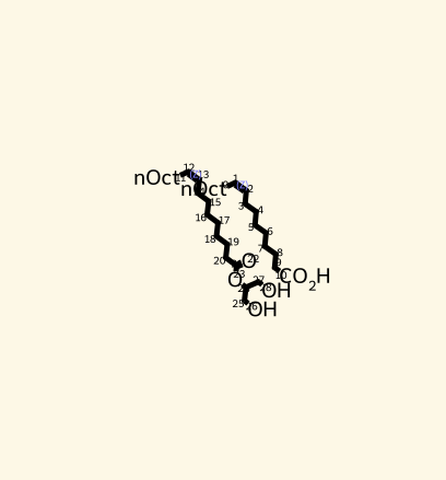 CCCCCCCC/C=C\CCCCCCCC(=O)O.CCCCCCCC/C=C\CCCCCCCC(=O)OC(CO)CO